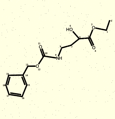 CCOC(=O)C(O)CCNC(=O)OCc1ccccc1